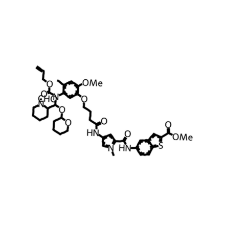 C=CCOC(=O)N(c1cc(OCCCC(=O)Nc2cc(C(=O)Nc3ccc4sc(C(=O)OC)cc4c3)n(C)c2)c(OC)cc1C)C(OC1CCCCO1)C1CCCCN1C=O